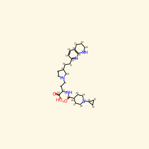 O=C(NC(CCN1CCC(CCc2ccc3c(n2)NCCC3)C1)C(=O)O)C1CCN(C2CC2)CC1